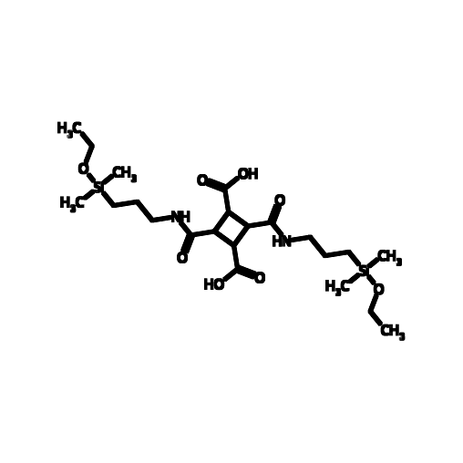 CCO[Si](C)(C)CCCNC(=O)C1C(C(=O)O)C(C(=O)NCCC[Si](C)(C)OCC)C1C(=O)O